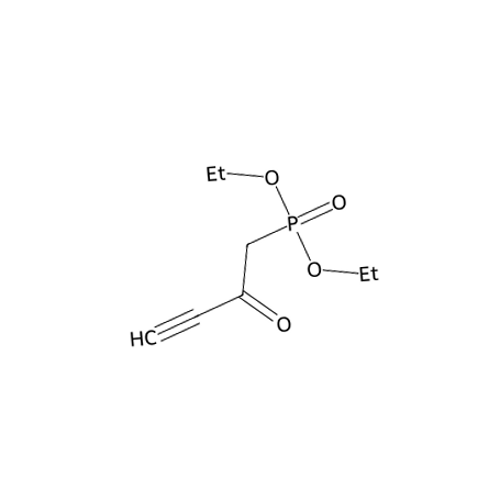 C#CC(=O)CP(=O)(OCC)OCC